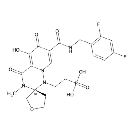 CN1C(=O)c2c(O)c(=O)c(C(=O)NCc3ccc(F)cc3F)cn2N(CCP(=O)(O)O)[C@@]12CCOC2